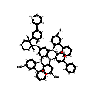 CC(C)(C)c1ccc2c(c1)B1c3cc(-c4ccccc4)ccc3N(c3ccc(C(C)(C)C)cc3-c3ccccc3)c3cc(N4c5ccc(-c6cccnc6)cc5C5(C)CCCCC45C)cc(c31)N2c1ccc(C(C)(C)C)cc1-c1ccccc1